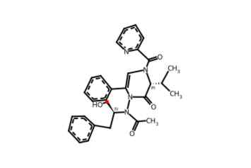 CC(=O)N([C@H](CO)Cc1ccccc1)N1C(=O)[C@@H](C(C)C)N(C(=O)c2ccccn2)C=C1c1ccccc1